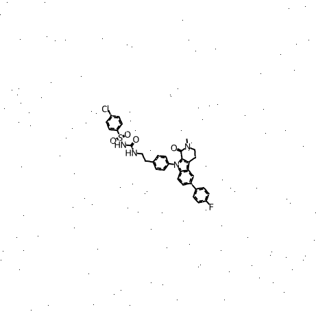 CN1CCc2c(n(-c3ccc(CCNC(=O)NS(=O)(=O)c4ccc(Cl)cc4)cc3)c3ccc(-c4ccc(F)cc4)cc23)C1=O